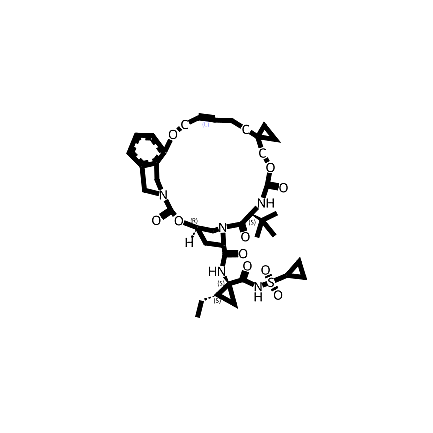 CC[C@H]1C[C@@]1(NC(=O)C1C[C@@H]2CN1C(=O)[C@H](C(C)(C)C)NC(=O)OCC1(CC/C=C/COc3cccc4c3CN(C4)C(=O)O2)CC1)C(=O)NS(=O)(=O)C1CC1